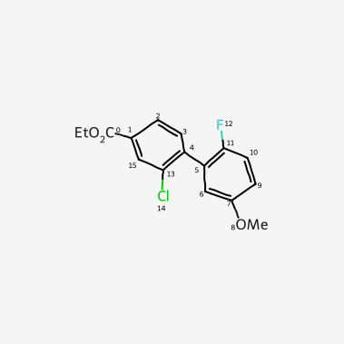 CCOC(=O)c1ccc(-c2cc(OC)ccc2F)c(Cl)c1